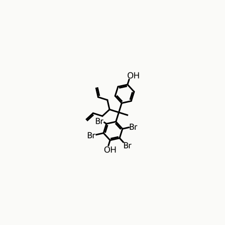 C=CCC(CC=C)C(C)(c1ccc(O)cc1)c1c(Br)c(Br)c(O)c(Br)c1Br